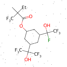 CCC(C)(C(=O)OC1CC(C(O)(F)C(F)(F)F)CC(C(O)(C(F)(F)F)C(F)(F)F)C1)C(F)(F)F